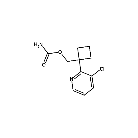 NC(=O)OCC1(c2ncccc2Cl)CCC1